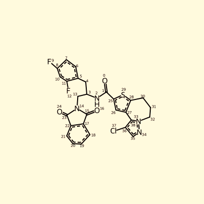 O=C(NC(Cc1ccc(F)cc1F)CN1C(=O)c2ccccc2C1=O)c1cc2c(s1)CCCn1ncc(Cl)c1-2